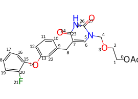 CC(=O)OCCOCn1cc(Cc2cccc(Oc3ccccc3F)c2)c(=O)[nH]c1=O